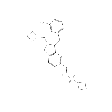 O=S(=O)(NCc1cc2c(cc1F)CC(CN1CCC1)C2Cc1cccc(Cl)c1)C1CCC1